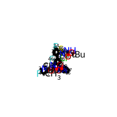 CN1C[C@H](F)CC1(C)COc1nc(N2CC3CCC(C2)N3C(=O)OC(C)(C)C)c2cc(Cl)c(-c3ccc(F)c4sc(NC(=O)OC(C)(C)C)nc34)c(F)c2n1